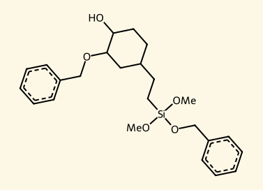 CO[Si](CCC1CCC(O)C(OCc2ccccc2)C1)(OC)OCc1ccccc1